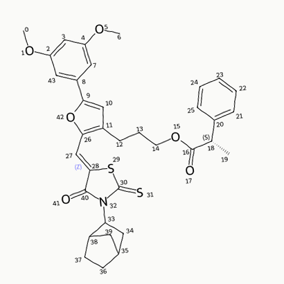 COc1cc(OC)cc(-c2cc(CCCOC(=O)[C@@H](C)c3ccccc3)c(/C=C3\SC(=S)N(C4CC5CCC4C5)C3=O)o2)c1